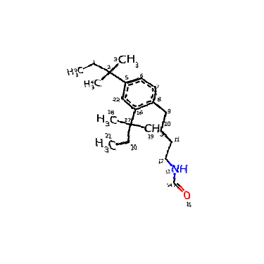 CCC(C)(C)c1ccc(CCCCN[C]=O)c(C(C)(C)CC)c1